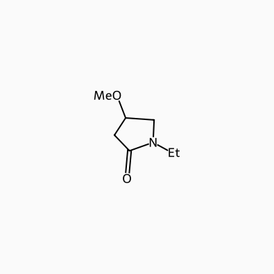 CCN1CC(OC)CC1=O